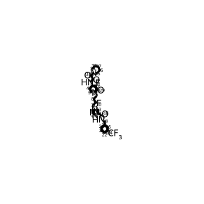 O=C(Nc1ccn(CCC(F)Cn2cc(C(=O)NCc3cccc(C(F)(F)F)c3)nn2)c(=O)c1F)C(=O)N1CCCCC1